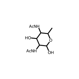 CC(=O)NC1C(C)OC(O)C(NC(C)=O)C1O